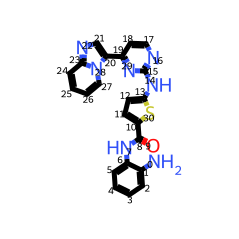 Nc1ccccc1NC(=O)c1ccc(Nc2nccc(-c3cnc4ccccn34)n2)s1